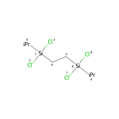 CC(C)[Si](Cl)(Cl)CC[Si](Cl)(Cl)C(C)C